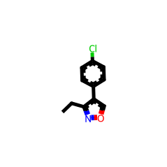 CCc1nocc1-c1ccc(Cl)cc1